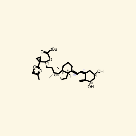 C=C1/C(=C\C=C2/CCC[C@]3(C)[C@@H]([C@H](C)CC[C@H](OC(=O)C(C)(C)C)C4(c5nc(C)co5)CC4)CC[C@@H]23)C[C@@H](O)C[C@@H]1O